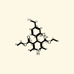 CCOC(=O)C1=C(C)NC(C)=C(C(=O)OCC)C1c1ccc(CI)cc1Cl